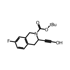 CC(C)(C)OC(=O)N1Cc2cc(F)ccc2CC1C#CO